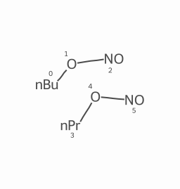 CCCCON=O.CCCON=O